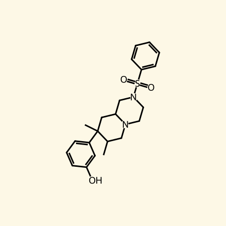 CC1CN2CCN(S(=O)(=O)c3ccccc3)CC2CC1(C)c1cccc(O)c1